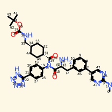 CN(C)c1ncc(-c2cccc(C[C@H](N)C(=O)N(c3ccc(-c4nnn[nH]4)cc3)C(=O)[C@H]3CC[C@H](CNC(=O)OC(C)(C)C)CC3)c2)cn1